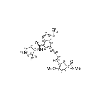 CNC(=O)c1ccc(OC)c(NCC#Cc2cc(C(=O)N[C@@H]3CCN(C)C[C@]3(C)F)c3ncn(CC(F)(F)F)c3c2)c1